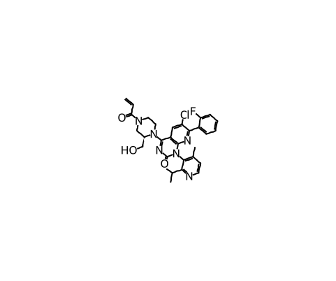 C=CC(=O)N1CCN(c2nc(=O)n(-c3c(C)ccnc3C(C)C)c3nc(-c4ccccc4F)c(Cl)cc23)[C@@H](CO)C1